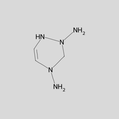 NN1C=CNN(N)C1